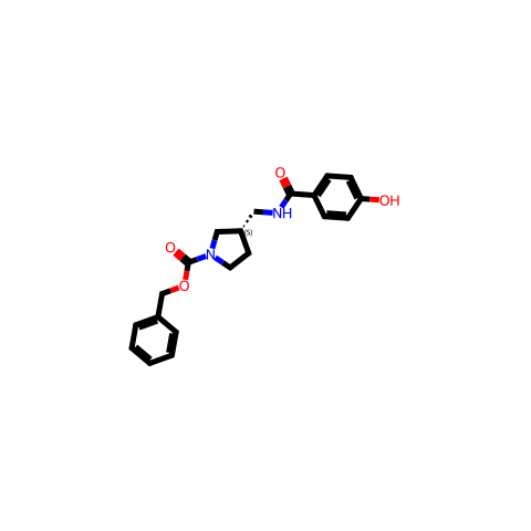 O=C(NC[C@@H]1CCN(C(=O)OCc2ccccc2)C1)c1ccc(O)cc1